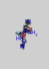 Cn1cc(N2CCCC(NC(=O)C3CC(F)CN3C(=O)Cn3nc(C(N)=O)c4cc(-c5ccnnc5)ccc43)C2)cn1